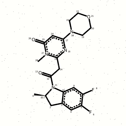 C[C@@H]1Cc2cc(F)c(F)cc2N1C(=O)Cc1nc(N2CCOCC2)cc(=O)n1C